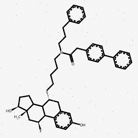 C[C@]12C[C@H](F)C3c4ccc(O)cc4C[C@@H](CCCCCN(CCCc4ccccc4)C(=O)Cc4ccc(-c5ccccc5)cc4)C3C1CC[C@@H]2O